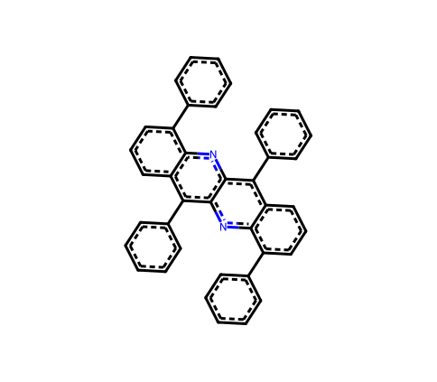 c1ccc(-c2cccc3c(-c4ccccc4)c4nc5c(-c6ccccc6)cccc5c(-c5ccccc5)c4nc23)cc1